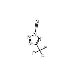 N#Cn1nnc(C(F)(F)F)n1